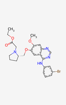 CCOC(=O)CN1CCC[C@H]1COc1cc2c(Nc3cccc(Br)c3)ncnc2cc1OC